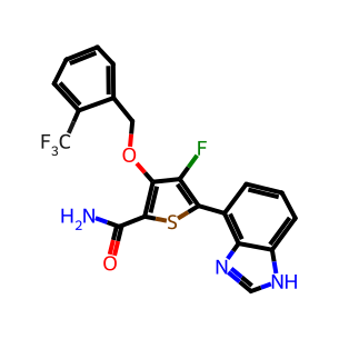 NC(=O)c1sc(-c2cccc3[nH]cnc23)c(F)c1OCc1ccccc1C(F)(F)F